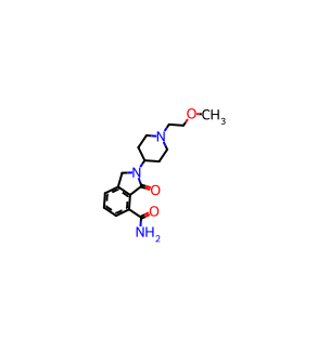 COCCN1CCC(N2Cc3cccc(C(N)=O)c3C2=O)CC1